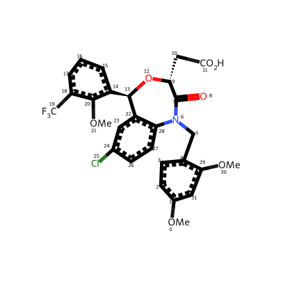 COc1ccc(CN2C(=O)[C@@H](CC(=O)O)O[C@H](c3cccc(C(F)(F)F)c3OC)c3cc(Cl)ccc32)c(OC)c1